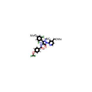 COCc1ccnc(-n2c(=O)c(NC(=O)c3ccc(OC(F)F)cc3)c(-c3c(F)cc(OC)cc3F)n2C)c1C#N